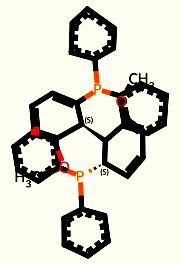 COC1=CC=C[C@H](P(c2ccccc2)c2ccccc2)C1[C@@H]1C(P(c2ccccc2)c2ccccc2)=CC=CC1OC